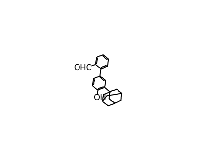 O=Cc1ccccc1-c1ccc(O)c(C23CC4CC(CC(C4)C2)C3)c1